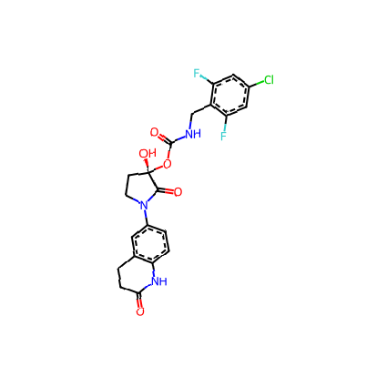 O=C1CCc2cc(N3CC[C@](O)(OC(=O)NCc4c(F)cc(Cl)cc4F)C3=O)ccc2N1